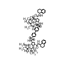 CN[C@@H](C)C(=O)N[C@H](C(=O)N1C[C@@H](NS(=O)(=O)c2ccc(-c3ccc(S(=O)(=O)N[C@H]4C[C@@H](C(=O)N[C@@H]5CCCc6ccccc65)N(C(=O)[C@@H](NC(=O)[C@H](C)NC)C(C)(C)C)C4)cc3)cc2)C[C@H]1C(=O)N[C@@H]1CCCc2ccccc21)C(C)(C)C